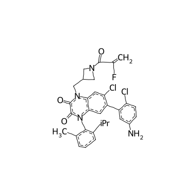 C=C(F)C(=O)N1CC(Cn2c(=O)c(=O)n(-c3c(C)cccc3C(C)C)c3cc(-c4cc(N)ccc4Cl)c(Cl)cc32)C1